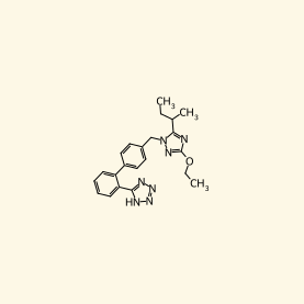 CCOc1nc(C(C)CC)n(Cc2ccc(-c3ccccc3-c3nnn[nH]3)cc2)n1